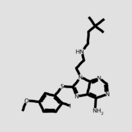 COc1ccc(I)c(Sc2nc3c(N)ncnc3n2CCNCCC(C)(C)C)c1